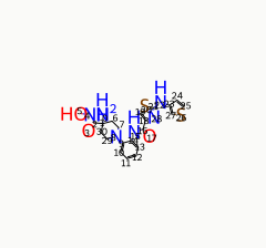 NC1(C(=O)NO)CCN(c2ccccc2NC(=O)c2csc(Nc3ccsc3)n2)CC1